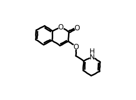 O=c1oc2ccccc2cc1OCC1=CCC=CN1